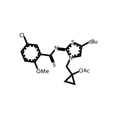 COc1ccc(Cl)cc1C(=S)N=c1sc(C(C)(C)C)cn1CC1(OC(C)=O)CC1